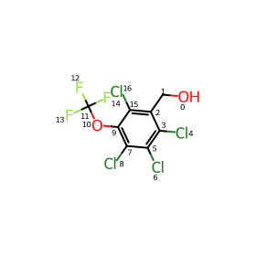 OCc1c(Cl)c(Cl)c(Cl)c(OC(F)(F)F)c1Cl